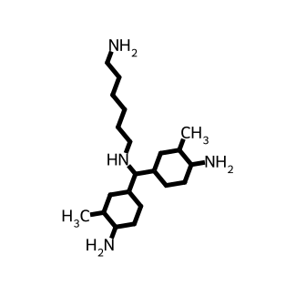 CC1CC(C(NCCCCCCN)C2CCC(N)C(C)C2)CCC1N